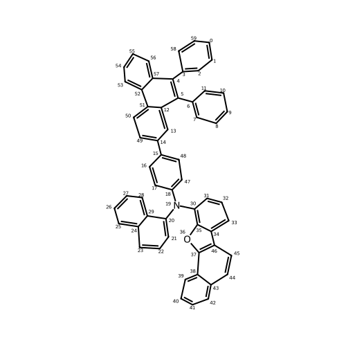 c1ccc(-c2c(-c3ccccc3)c3cc(-c4ccc(N(c5cccc6ccccc56)c5cccc6c5oc5c7ccccc7ccc65)cc4)ccc3c3ccccc23)cc1